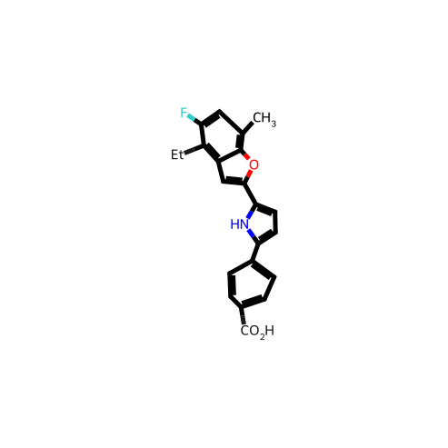 CCc1c(F)cc(C)c2oc(-c3ccc(-c4ccc(C(=O)O)cc4)[nH]3)cc12